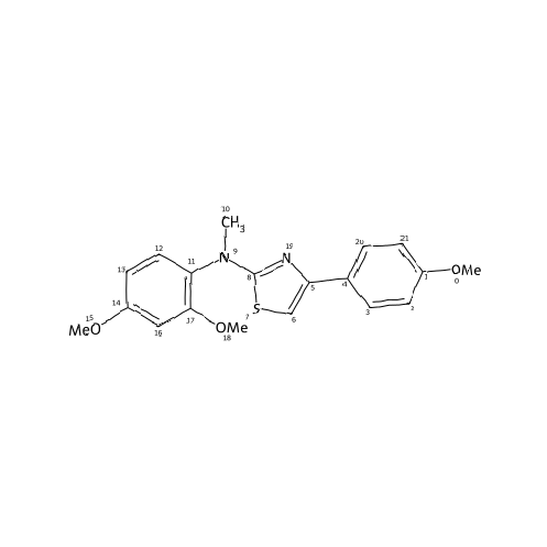 COc1ccc(-c2csc(N(C)c3ccc(OC)cc3OC)n2)cc1